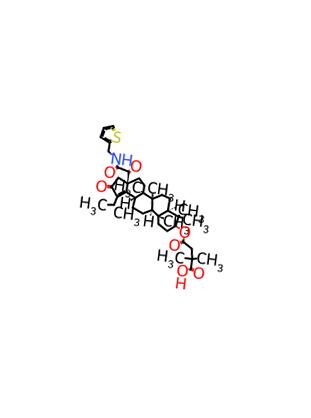 CC(C)C1=C2[C@H]3CC[C@@H]4[C@@]5(C)CC[C@H](OC(=O)CC(C)(C)C(=O)O)C(C)(C)[C@@H]5CC[C@@]4(C)[C@]3(C)CC[C@@]2(C(=O)C(=O)NCc2cccs2)CC1=O